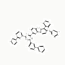 C1=CC2c3cc(-c4nc(-c5cccc(-c6ccccc6)c5)nc(-c5cccc(-c6ccccc6)c5)n4)ccc3OC2c2c1n(-c1ccccc1)c1ccccc21